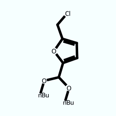 CCCCOC(OCCCC)c1ccc(CCl)o1